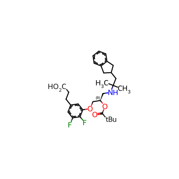 CC(C)(CC1Cc2ccccc2C1)NC[C@H](COc1cc(CCC(=O)O)cc(F)c1F)OC(=O)C(C)(C)C